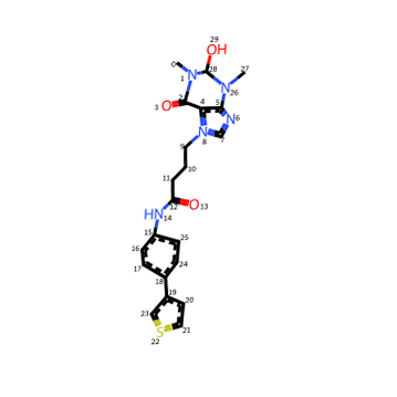 CN1C(=O)c2c(ncn2CCCC(=O)Nc2ccc(-c3ccsc3)cc2)N(C)C1O